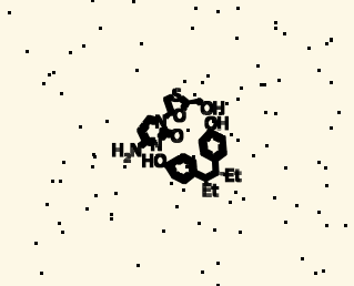 CC[C@H](c1ccc(O)cc1)[C@@H](CC)c1ccc(O)cc1.Nc1ccn([C@H]2CS[C@@H](CO)O2)c(=O)n1